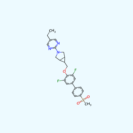 CCc1cnc(N2CC3C(COc4c(F)cc(-c5ccc(S(C)(=O)=O)cc5)cc4F)C3C2)nc1